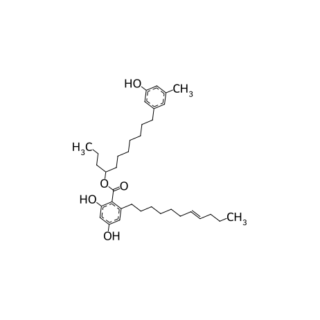 CCC/C=C/CCCCCCc1cc(O)cc(O)c1C(=O)OC(CCC)CCCCCCCc1cc(C)cc(O)c1